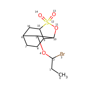 CCC(Br)OC1C2CCC3C1OS(=O)(=O)C3C2